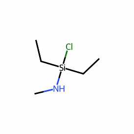 CC[Si](Cl)(CC)NC